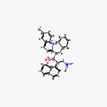 CN(C)CC(c1cccc2ccccc12)C(O)C(Cc1ccccc1)c1ccc2cc(Br)ccc2n1